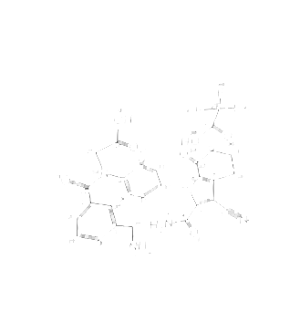 N#Cc1c(C(N)=O)sc2c1CCCC2=O.NCc1cccc(C(=O)N(CC(=O)O)c2ccccc2)c1.O=C(O)C(F)(F)F